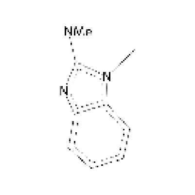 CNc1nc2ccccc2n1C